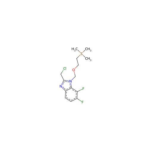 CS(C)(C)CCOCn1c(CCl)nc2ccc(F)c(F)c21